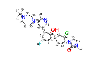 Cc1ncc(-c2cc(F)cc(-c3ccc(-n4ccn(C)c4=O)c(Cl)c3)c2O)cc1N1CCCN(C(C)(C)C)CC1